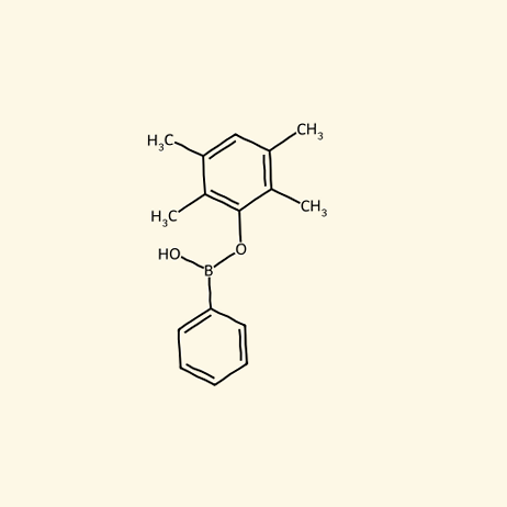 Cc1cc(C)c(C)c(OB(O)c2ccccc2)c1C